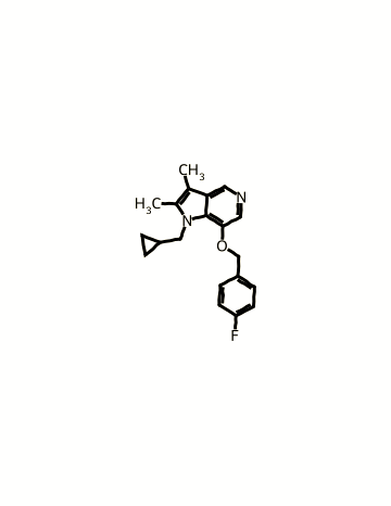 Cc1c(C)n(CC2CC2)c2c(OCc3ccc(F)cc3)cncc12